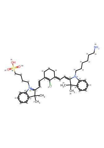 CC1(C)C(/C=C/C2=C(Cl)C(=C/C=C3/N(CCCCCCN)c4ccccc4C3(C)C)/CCC2)=[N+](CCCCS(=O)(=O)O)c2ccccc21